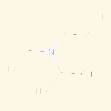 CCN(CCS)C(C)C